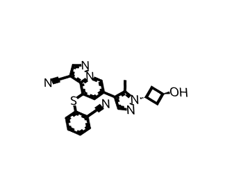 Cc1c(-c2cc(Sc3ccccc3C#N)c3c(C#N)cnn3c2)cnn1[C@H]1C[C@H](O)C1